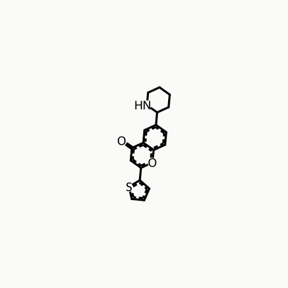 O=c1cc(-c2cccs2)oc2ccc(C3CCCCN3)cc12